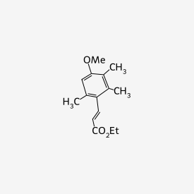 CCOC(=O)C=Cc1c(C)cc(OC)c(C)c1C